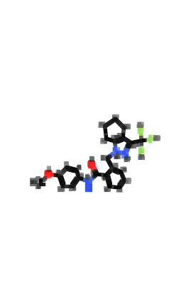 COc1ccc(NC(=O)c2ccccc2Cn2nc(C(F)(F)F)c3c2CCCC3)cc1